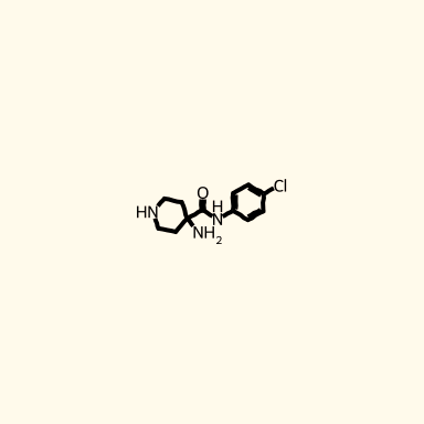 NC1(C(=O)Nc2ccc(Cl)cc2)CCNCC1